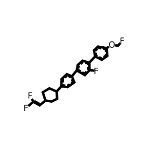 FCOc1ccc(-c2ccc(-c3ccc(C4CCC(C=C(F)F)CC4)cc3)cc2F)cc1